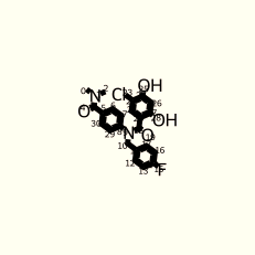 CN(C)C(=O)c1ccc(N(Cc2ccc(F)cc2)C(=O)c2cc(Cl)c(O)cc2O)cc1